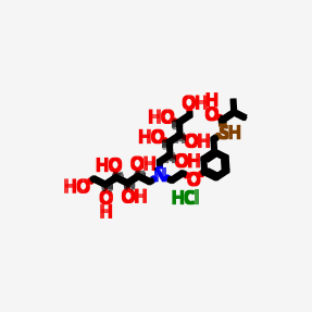 CC(C)C(O)=[SH]Cc1cccc(OCCN(C[C@@H](O)[C@@H](O)[C@H](O)[C@H](O)CO)C[C@@H](O)[C@@H](O)[C@H](O)[C@H](O)CO)c1.Cl